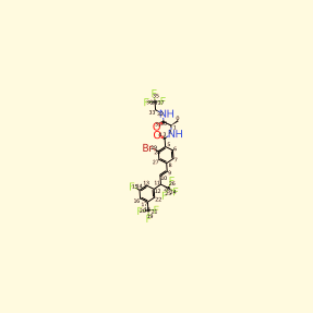 C[C@@H](NC(=O)c1ccc(/C=C/C(c2cc(F)cc(C(F)(F)F)c2)C(F)(F)F)cc1Br)C(=O)NCC(F)(F)F